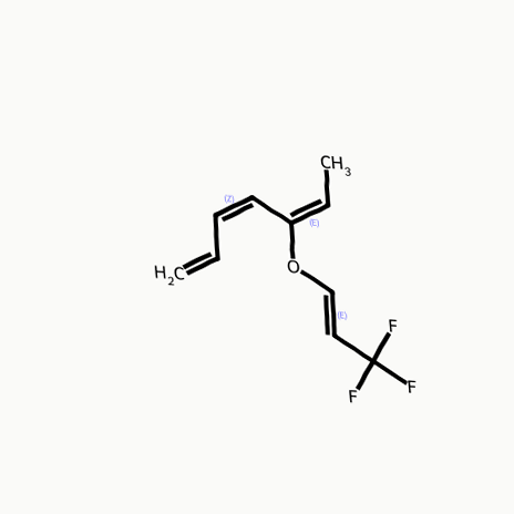 C=C/C=C\C(=C/C)O/C=C/C(F)(F)F